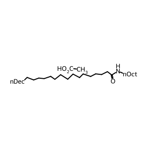 CC(=O)O.CCCCCCCCCCCCCCCCCCCCCCCCCC(=O)NCCCCCCCC